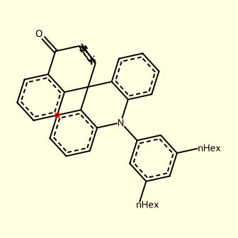 CCCCCCc1cc(CCCCCC)cc(N2c3ccccc3C3(c4ccccc4C(=O)c4ccccc43)c3ccccc32)c1